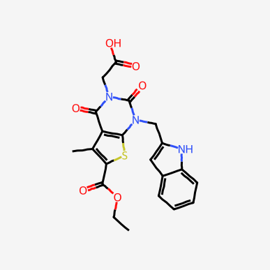 CCOC(=O)c1sc2c(c1C)c(=O)n(CC(=O)O)c(=O)n2Cc1cc2ccccc2[nH]1